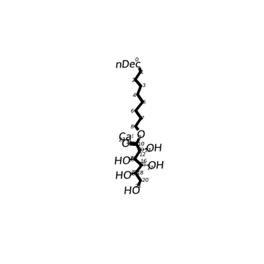 CCCCCCCCCCCCCCCCCCOC(=O)[C@H](O)[C@@H](O)[C@H](O)[C@H](O)CO.[Ca]